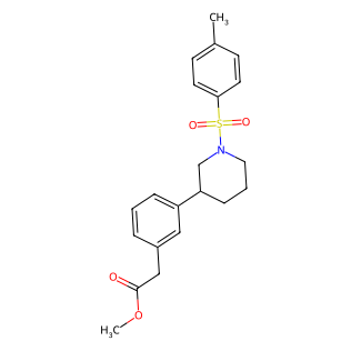 COC(=O)Cc1cccc(C2CCCN(S(=O)(=O)c3ccc(C)cc3)C2)c1